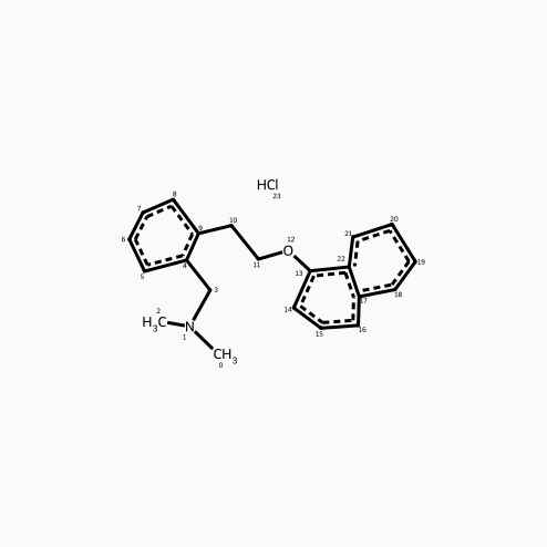 CN(C)Cc1ccccc1CCOc1cccc2ccccc12.Cl